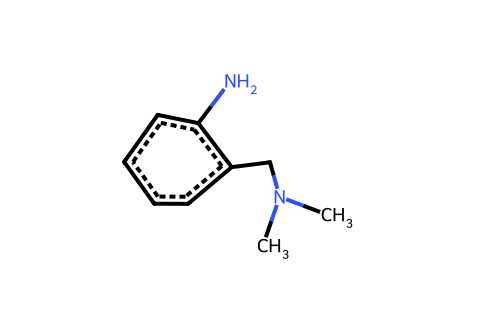 CN(C)Cc1ccccc1N